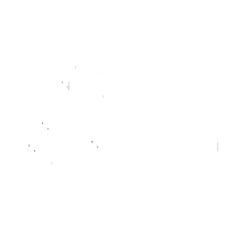 O=C(O)C1(N=Cc2nnccc2N2CCC(Cc3ccccc3Cl)CC2)CC1